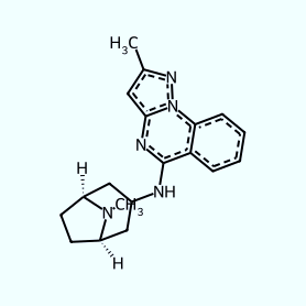 Cc1cc2nc(NC3C[C@H]4CC[C@@H](C3)N4C)c3ccccc3n2n1